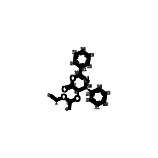 CCOC(C)O[C@@H]1C(=O)OC(c2ccccc2)=N[C@@H]1c1ccccc1